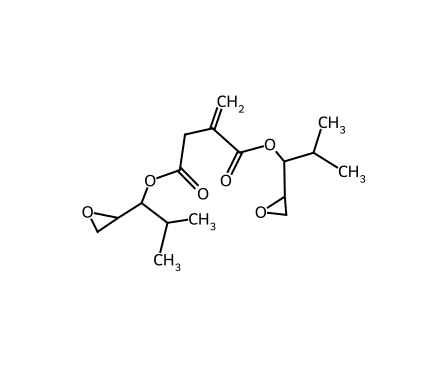 C=C(CC(=O)OC(C(C)C)C1CO1)C(=O)OC(C(C)C)C1CO1